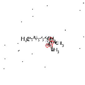 C=C(CCCCCCCCCC)CC(C(=O)OCC)C(=O)OCC